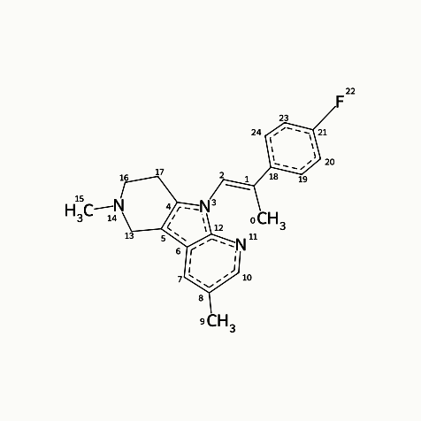 C/C(=C\n1c2c(c3cc(C)cnc31)CN(C)CC2)c1ccc(F)cc1